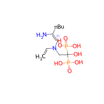 C=CN(/C=C(\N)CCCC)CC(O)(P(=O)(O)O)P(=O)(O)O